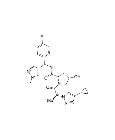 Cn1cc(C(NC(=O)C2CC(O)CN2C(=O)[C@@H](n2cc(C3CC3)nn2)C(C)(C)C)c2ccc(F)cc2)cn1